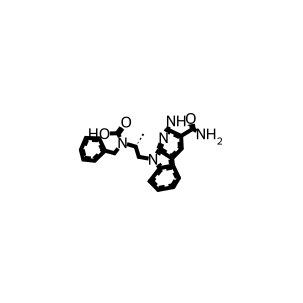 C[C@H](Cn1c2ccccc2c2cc(C(N)=O)c(N)nc21)N(Cc1ccccc1)C(=O)O